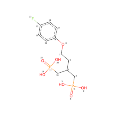 O=P(O)(O)CC(CCOc1ccc(F)cc1)CP(=O)(O)O